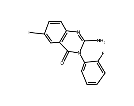 Nc1nc2ccc(I)cc2c(=O)n1-c1ccccc1F